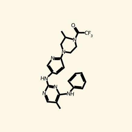 Cc1cnc(Nc2ccc(N3CCN(C(=O)C(F)(F)F)C(C)C3)nc2)nc1Nc1ccccc1